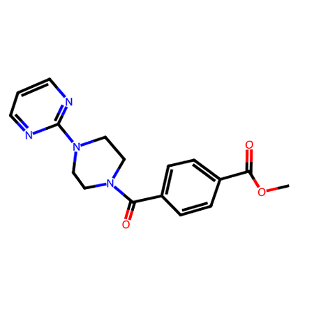 COC(=O)c1ccc(C(=O)N2CCN(c3ncccn3)CC2)cc1